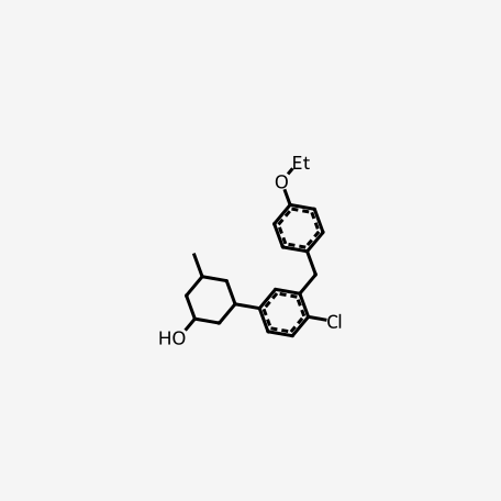 CCOc1ccc(Cc2cc(C3CC(C)CC(O)C3)ccc2Cl)cc1